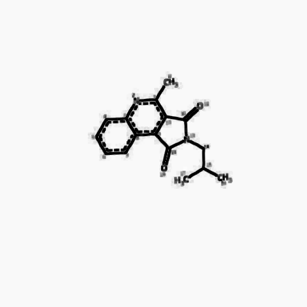 Cc1nc2ccccc2c2c1C(=O)N(CC(C)C)C2=O